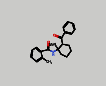 CNC1(NC(=O)c2ccccc2C)CCCCC1C(=O)c1ccccc1